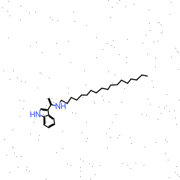 C=C(NCCCCCCCCCCCCCCCCCC)c1c[nH]c2ccccc12